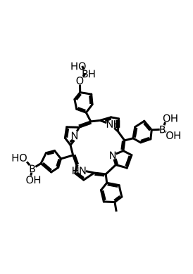 Cc1ccc(-c2c3nc(c(-c4ccc(B(O)O)cc4)c4ccc([nH]4)c(-c4ccc(OBO)cc4)c4nc(c(-c5ccc(B(O)O)cc5)c5ccc2[nH]5)C=C4)C=C3)cc1